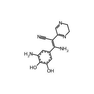 N#C/C(C1=NCCN=C1)=C(/N)c1cc(N)c(O)c(O)c1